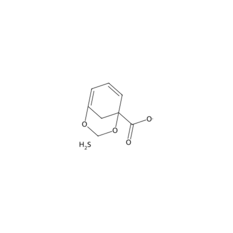 S.[O]C(=O)C12C=CC=C(C1)OCO2